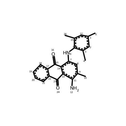 Cc1cc(C)c(Nc2cc(C)c(N)c3c2C(=O)c2ccccc2C3=O)c(C)c1